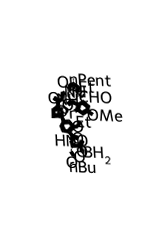 BOC(=O)[C@H](CC(=O)OCCCC)NC(=O)c1ccc(-c2ccc(C(=O)NCNC(=O)[C@H](CCCCC)[C@@H](CC)N(C=O)OC(=O)c3ccc(OC)cc3C(C)C)o2)cc1OCC